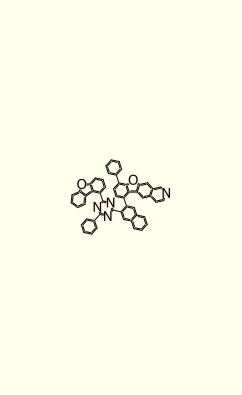 c1ccc(-c2nc(-c3cc4ccccc4cc3-c3ccc(-c4ccccc4)c4oc5cc6cnccc6cc5c34)nc(-c3cccc4oc5ccccc5c34)n2)cc1